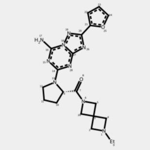 CCN1CC2(C1)CN(C(=O)[C@@H]1CCCN1c1nc(N)n3nc(-c4ccco4)nc3n1)C2